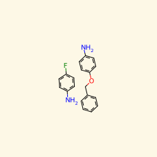 Nc1ccc(F)cc1.Nc1ccc(OCc2ccccc2)cc1